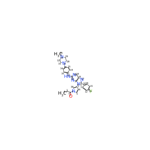 C=CC(=O)n1ccc(-n2c(-c3ccc(F)cc3)nc3cnc(Nc4ccc(N5CCN(C)CC5)cc4)nc32)c1